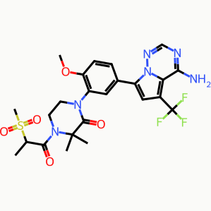 COc1ccc(-c2cc(C(F)(F)F)c3c(N)ncnn23)cc1N1CCN(C(=O)C(C)S(C)(=O)=O)C(C)(C)C1=O